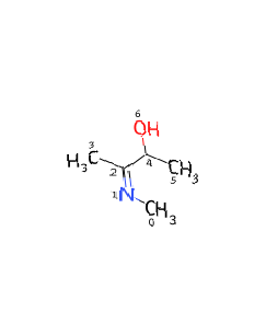 C/N=C(/C)C(C)O